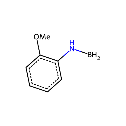 BNc1ccccc1OC